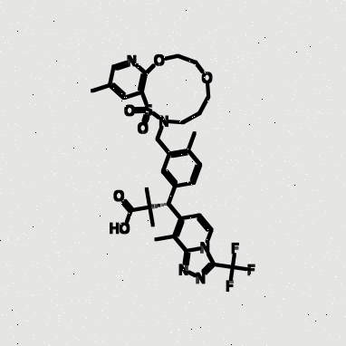 Cc1cnc2c(c1)S(=O)(=O)N(Cc1cc([C@H](c3ccn4c(C(F)(F)F)nnc4c3C)C(C)(C)C(=O)O)ccc1C)CCCOCCO2